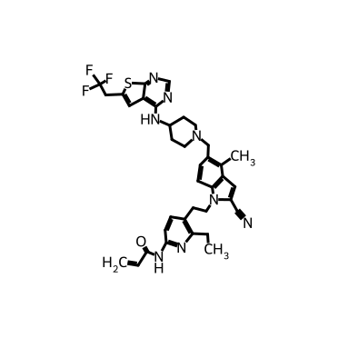 C=CC(=O)Nc1ccc(CCn2c(C#N)cc3c(C)c(CN4CCC(Nc5ncnc6sc(CC(F)(F)F)cc56)CC4)ccc32)c(CC)n1